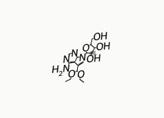 CCOC(OCC)c1cn(C2OC(CO)C(O)[C@@]2(C)O)c2ncnc(N)c12